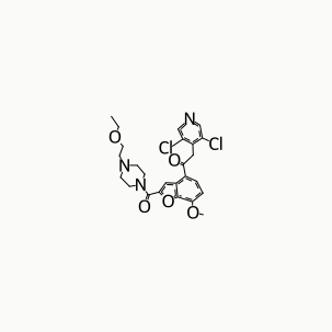 CCOCCN1CCN(C(=O)c2cc3c(C(=O)Cc4c(Cl)cncc4Cl)ccc(OC)c3o2)CC1